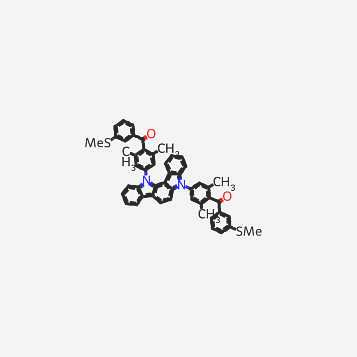 CSc1cccc(C(=O)c2c(C)cc(-n3c4ccccc4c4c3ccc3c5ccccc5n(-c5cc(C)c(C(=O)c6cccc(SC)c6)c(C)c5)c34)cc2C)c1